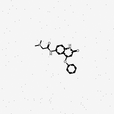 CN(C)CC(=O)Nc1ccc2[nH]c(=O)cc(Oc3ccccc3)c2c1